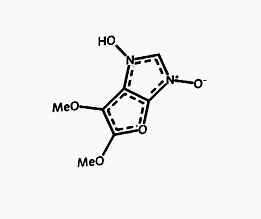 COc1oc2c(c1OC)n(O)c[n+]2[O-]